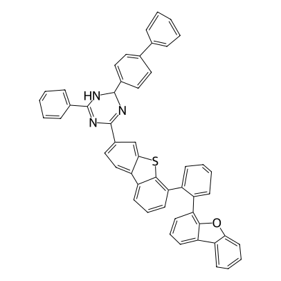 c1ccc(C2=NC(c3ccc4c(c3)sc3c(-c5ccccc5-c5cccc6c5oc5ccccc56)cccc34)=NC(c3ccc(-c4ccccc4)cc3)N2)cc1